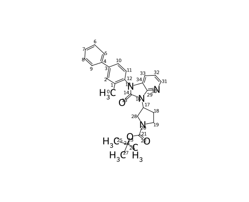 Cc1cc(-c2ccccc2)ccc1-n1c(=O)n(C2CCN(C(=O)OC(C)(C)C)C2)c2ncccc21